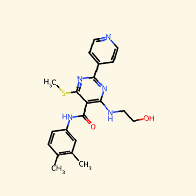 CSc1nc(-c2ccncc2)nc(NCCO)c1C(=O)Nc1ccc(C)c(C)c1